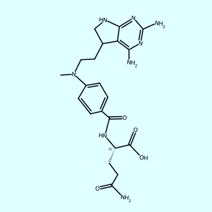 CN(CCC1CNc2nc(N)nc(N)c21)c1ccc(C(=O)N[C@@H](CCC(N)=O)C(=O)O)cc1